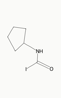 O=C(I)NC1CCCC1